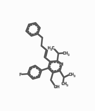 CC(C)c1nc(C(C)C)c(CO)c(-c2ccc(F)cc2)c1/C=C/CCc1ccccc1